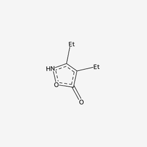 CCc1[nH]oc(=O)c1CC